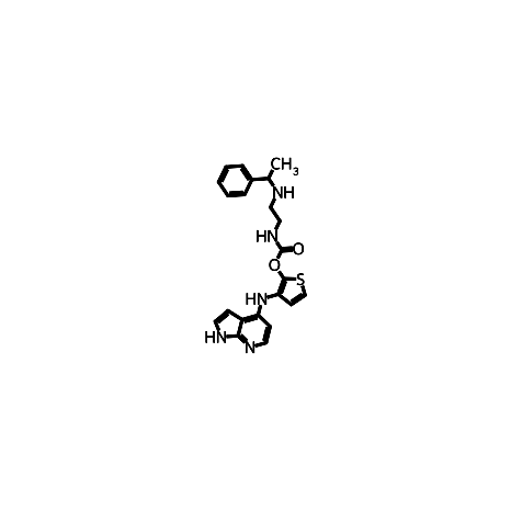 CC(NCCNC(=O)Oc1sccc1Nc1ccnc2[nH]ccc12)c1ccccc1